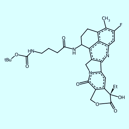 CC[C@@]1(O)C(=O)OCc2c1cc1n(c2=O)Cc2c-1nc1cc(F)c(C)c3c1c2C(NC(=O)CCCNC(=O)OC(C)(C)C)CC3